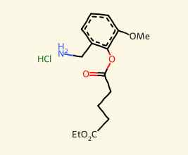 CCOC(=O)CCCC(=O)Oc1c(CN)cccc1OC.Cl